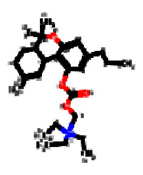 CCCc1cc(OC(=O)OC[N+](CC)(CC)CC)c2c(c1)OC(C)(C)C1CCC(C)=CC21